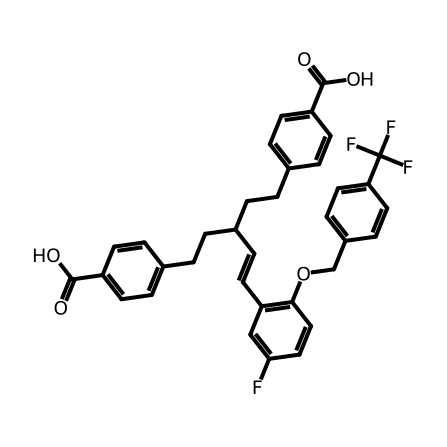 O=C(O)c1ccc(CCC(C=Cc2cc(F)ccc2OCc2ccc(C(F)(F)F)cc2)CCc2ccc(C(=O)O)cc2)cc1